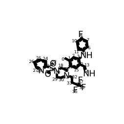 Cc1cc(Nc2ccc(F)cc2)c(C=N)cc1[C@@H]1CN(S(=O)(=O)c2ccccn2)CCN1CCC(F)(F)F